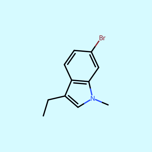 CCc1cn(C)c2cc(Br)ccc12